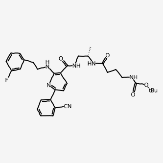 C[C@@H](CNC(=O)c1ccc(-c2ccccc2C#N)nc1NCCc1cccc(F)c1)NC(=O)CCCNC(=O)OC(C)(C)C